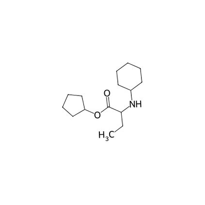 CCC(NC1CCCCC1)C(=O)OC1CCCC1